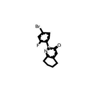 O=c1cc2c(nn1-c1ccc(Br)cc1F)CCCC2